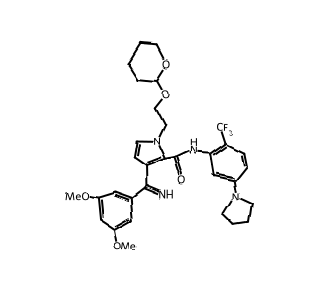 COc1cc(OC)cc(C(=N)c2ccn(CCOC3CCCCO3)c2C(=O)Nc2cc(N3CCCC3)ccc2C(F)(F)F)c1